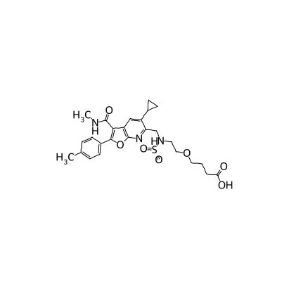 CNC(=O)c1c(-c2ccc(C)cc2)oc2nc(CN(CCOCCCC(=O)O)[SH](=O)=O)c(C3CC3)cc12